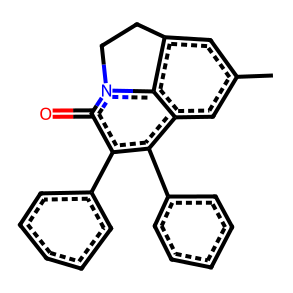 Cc1cc2c3c(c1)c(-c1ccccc1)c(-c1ccccc1)c(=O)n3CC2